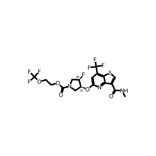 CNC(=O)c1csc2c(C(F)(F)F)cc(O[C@H]3CN(C(=O)OCCOC(F)(F)F)C[C@H]3F)nc12